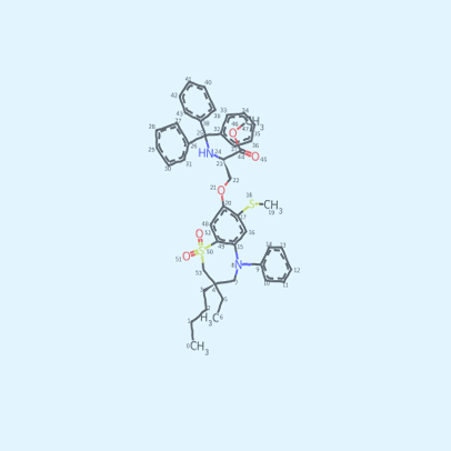 CCCC[C@]1(CC)CN(c2ccccc2)c2cc(SC)c(OC[C@@H](NC(c3ccccc3)(c3ccccc3)c3ccccc3)C(=O)OC)cc2S(=O)(=O)C1